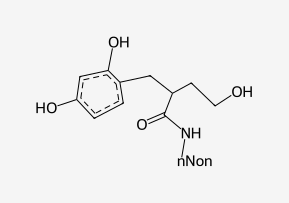 CCCCCCCCCNC(=O)C(CCO)Cc1ccc(O)cc1O